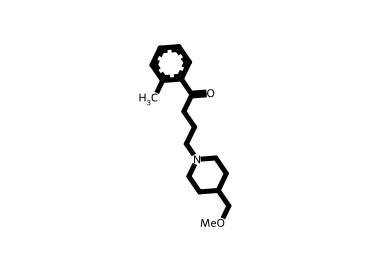 COCC1CCN(CCCC(=O)c2ccccc2C)CC1